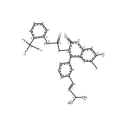 Cc1cc2c(-c3cccc(/C=C/C(O)O)c3)c(CC(=O)Nc3ccccc3C(F)(F)F)c(=O)oc2cc1Cl